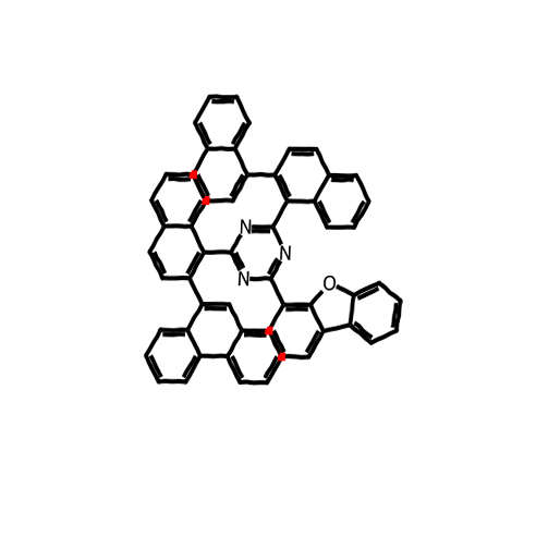 c1ccc2c(-c3ccc4ccccc4c3-c3nc(-c4c(-c5cc6ccccc6c6ccccc56)ccc5ccccc45)nc(-c4cccc5c4oc4ccccc45)n3)cccc2c1